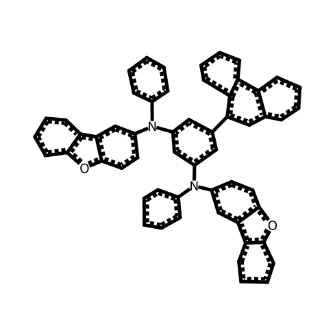 c1ccc(N(c2cc(-c3cc4ccccc4c4ccccc34)cc(N(c3ccccc3)c3ccc4oc5ccccc5c4c3)c2)c2ccc3oc4ccccc4c3c2)cc1